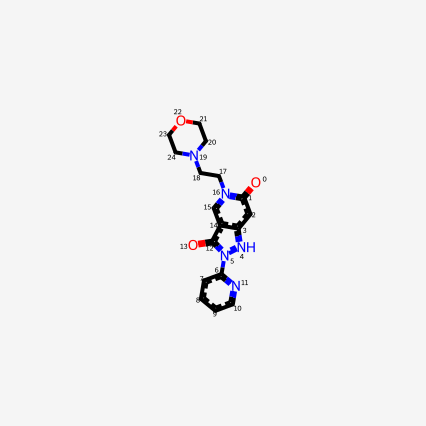 O=c1cc2[nH]n(-c3ccccn3)c(=O)c2cn1CCN1CCOCC1